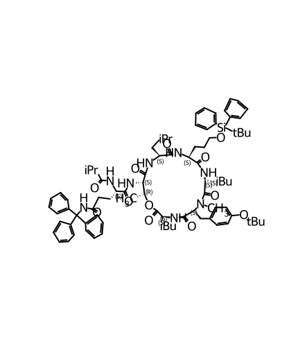 CC[C@H](C)[C@@H]1NC(=O)[C@H](Cc2ccc(OC(C)(C)C)cc2)N(C)C(=O)[C@H]([C@@H](C)CC)NC(=O)[C@H](CCCO[Si](c2ccccc2)(c2ccccc2)C(C)(C)C)NC(=O)[C@H](CC(C)C)NC(=O)[C@@H](NC(=O)[C@H](CCC(=O)NC(c2ccccc2)(c2ccccc2)c2ccccc2)NC(=O)C(C)C)[C@@H](C)OC1=O